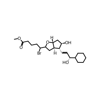 COC(=O)CCCC(Br)C1C[C@@H]2[C@@H](/C=C/[C@@H](O)C3CCCCC3)[C@H](O)C[C@H]2O1